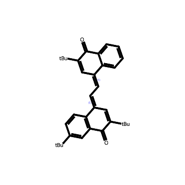 CC(C)(C)C1=C/C(=C\C=C2/C=C(C(C)(C)C)C(=O)c3cc(C(C)(C)C)ccc32)c2ccccc2C1=O